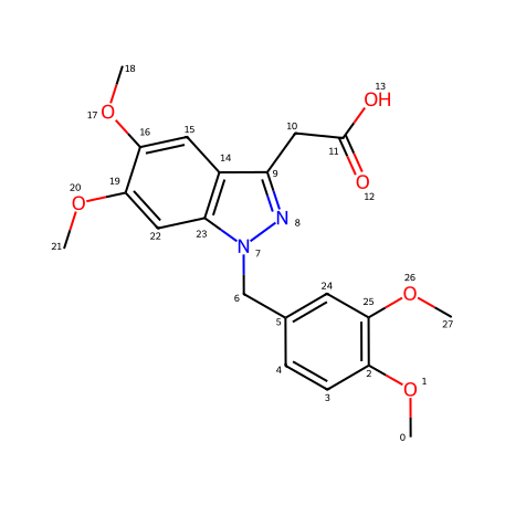 COc1ccc(Cn2nc(CC(=O)O)c3cc(OC)c(OC)cc32)cc1OC